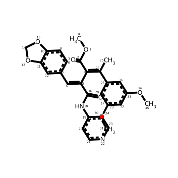 COC(=O)C(/C(=C\c1ccc2c(c1)OCO2)C(=O)Nc1ccncc1)=C(\C)c1cc(OC)cc(OC)c1